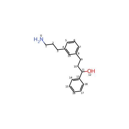 NCCCc1cccc(CCC(O)c2ccccc2)c1